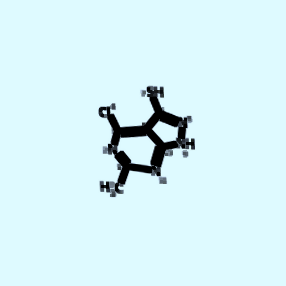 Cc1nc(Cl)c2c(S)n[nH]c2n1